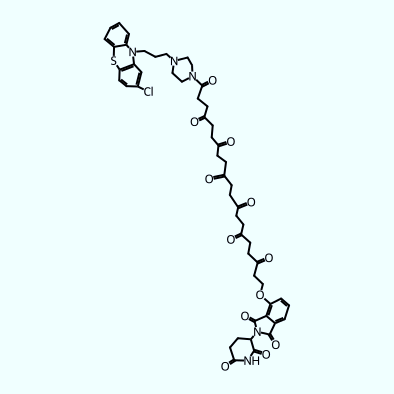 O=C(CCOc1cccc2c1C(=O)N(C1CCC(=O)NC1=O)C2=O)CCC(=O)CCC(=O)CCC(=O)CCC(=O)CCC(=O)CCC(=O)N1CCN(CCCN2c3ccccc3Sc3ccc(Cl)cc32)CC1